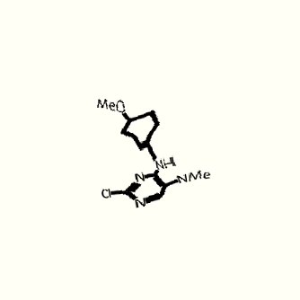 CNc1cnc(Cl)nc1NC1CCC(OC)CC1